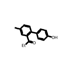 CCC(=O)c1cc(C)ccc1-c1ccc(O)cc1